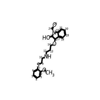 COc1ccccc1SCCNCCCOC1c2ccccc2N(C=O)C1O